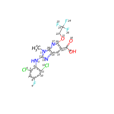 Cn1c(Nc2c(Cl)cc(F)cc2Cl)nc2cc(C(=O)O)c(OCC(F)(F)F)nc21